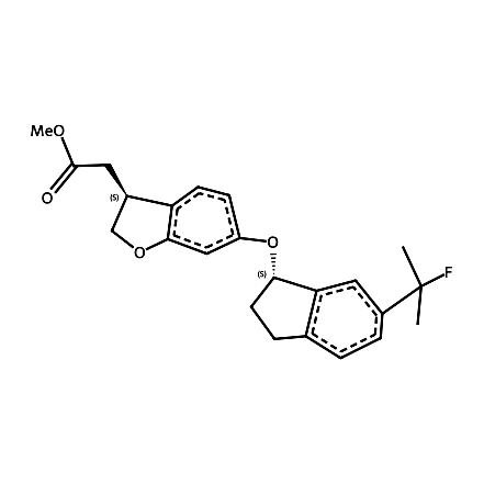 COC(=O)C[C@@H]1COc2cc(O[C@H]3CCc4ccc(C(C)(C)F)cc43)ccc21